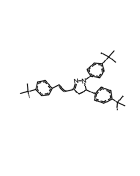 CC(C)(C)c1ccc(C=CC2=NN(c3ccc(C(C)(C)C)cc3)C(c3ccc(C(C)(C)C)cc3)C2)cc1